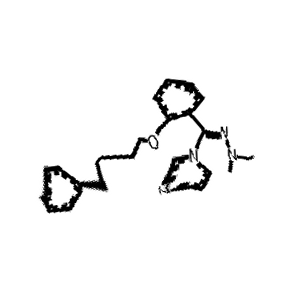 CN(C)N=C(c1ccccc1OCCCCc1ccccc1)n1ccnc1